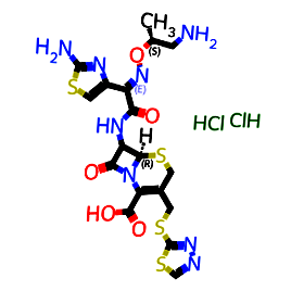 C[C@@H](CN)O/N=C(/C(=O)NC1C(=O)N2C(C(=O)O)=C(CSc3nncs3)CS[C@H]12)c1csc(N)n1.Cl.Cl